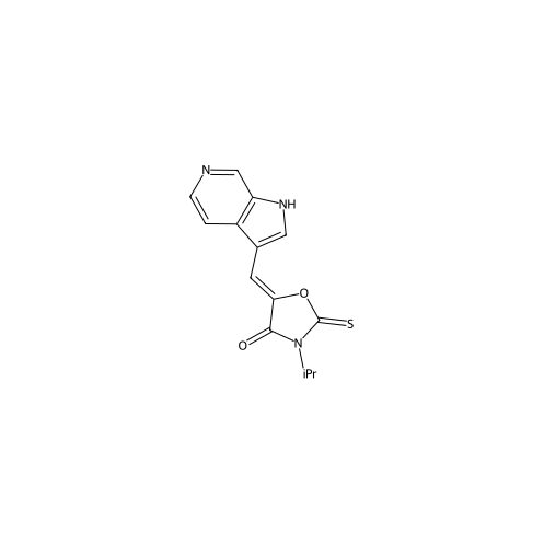 CC(C)N1C(=O)/C(=C/c2c[nH]c3cnccc23)OC1=S